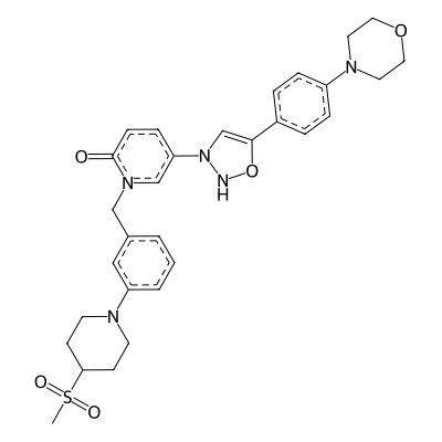 CS(=O)(=O)C1CCN(c2cccc(Cn3cc(N4C=C(c5ccc(N6CCOCC6)cc5)ON4)ccc3=O)c2)CC1